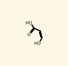 O=C(O)/C=C\O